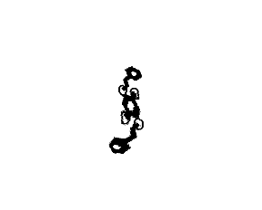 O=C1C=C(OCCc2ccccc2)C(=O)C=C1OCCc1ccccc1